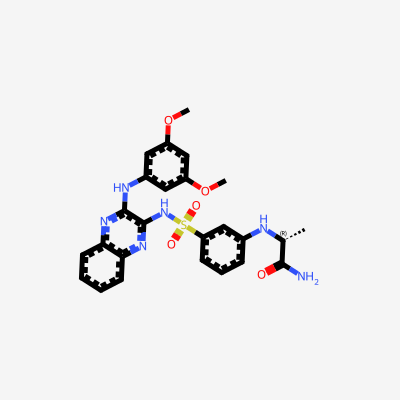 COc1cc(Nc2nc3ccccc3nc2NS(=O)(=O)c2cccc(N[C@H](C)C(N)=O)c2)cc(OC)c1